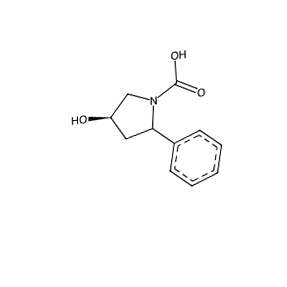 O=C(O)N1C[C@H](O)CC1c1ccccc1